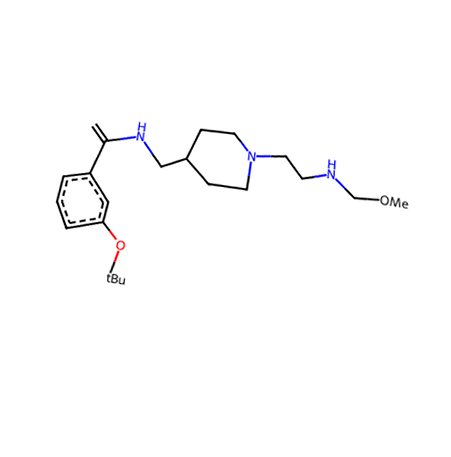 C=C(NCC1CCN(CCNCOC)CC1)c1cccc(OC(C)(C)C)c1